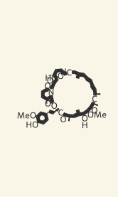 CO[C@@H]1C[C@H](CC[C@@H]2CC(=O)[C@H](C)/C=C(\C)[C@@H](O)[C@@H](OC)C(=O)[C@H](C)C[C@H](C)/C=C/C=C/C=C(\C)CC[C@@H]3CC[C@@H](C)[C@@](O)(O3)C(=O)C(=O)N3CCCC[C@H]3C(=O)O2)CC[C@H]1O